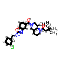 CCCN(CC1CCCN(C(=O)CC(C)(C)C)C1)C(=O)c1ccc2oc(NCc3cccc(Cl)c3)nc2c1